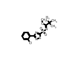 CO/C(=N\S(=O)(=O)c1nc(-c2ccccc2Cl)ns1)C(C)(C)C